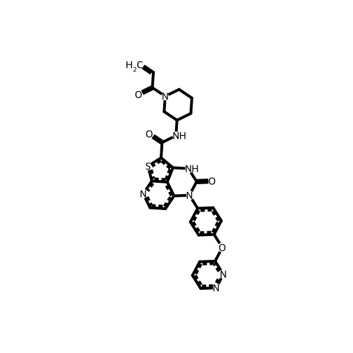 C=CC(=O)N1CCCC(NC(=O)c2sc3nccc4c3c2NC(=O)N4c2ccc(Oc3cccnn3)cc2)C1